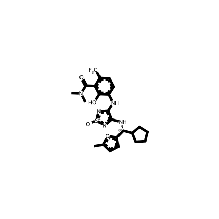 Cc1ccc([C@H](Nc2n[s+]([O-])nc2Nc2ccc(C(F)(F)F)c(C(=O)N(C)C)c2O)C2CCCC2)o1